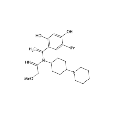 C=C(c1cc(C(C)C)c(O)cc1O)N(C(=N)COC)C1CCC(N2CCCCC2)CC1